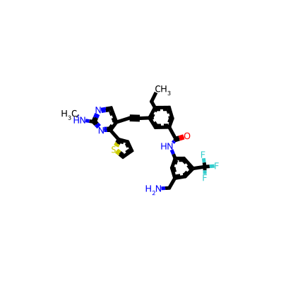 CCc1ccc(C(=O)Nc2cc(CN)cc(C(F)(F)F)c2)cc1C#Cc1cnc(NC)nc1-c1cccs1